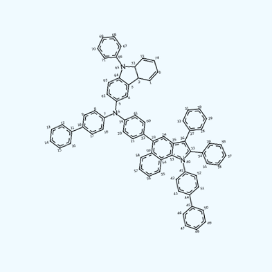 C1=CC2c3cc(N(c4ccc(-c5ccccc5)cc4)c4ccc(-c5cc6c(-c7ccccc7)c(-c7ccccc7)n(-c7ccc(-c8ccccc8)cc7)c6c6ccccc56)cc4)ccc3N(c3ccccc3)C2C=C1